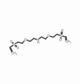 C=CS(=O)(=O)CCOCCNCCOCCS(=O)(=O)C=C